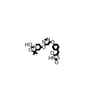 CC(C)(C)C1CC(Oc2cc(Oc3ccc(C=C4SC(=O)NC4=O)cc3)ncn2)CCN1C(=O)O